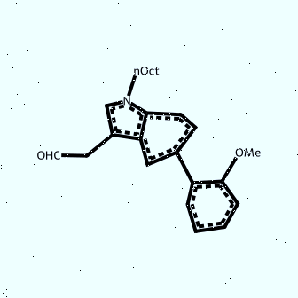 CCCCCCCCn1cc(CC=O)c2cc(-c3ccccc3OC)ccc21